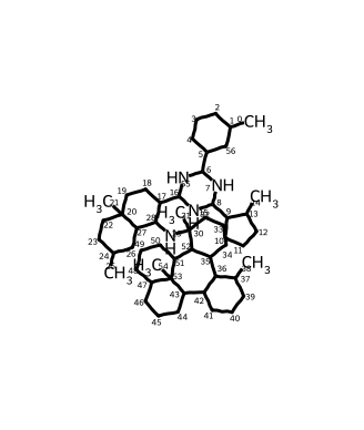 CC1CCCC(C2NC(C3CCCC3C)NC(C3CCC4(C)CCC(C)CC4C3NC3(C)CCCC4C5C(C)CCCC5C5CCCC6CCCC(C43)C65C)N2)C1